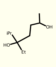 CCC(O)(CCC(C)O)C(C)C